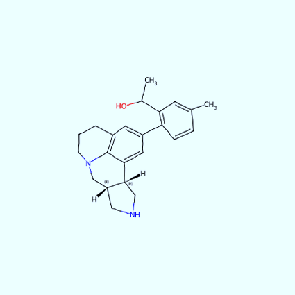 Cc1ccc(-c2cc3c4c(c2)[C@@H]2CNC[C@@H]2CN4CCC3)c(C(C)O)c1